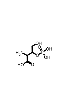 NC(C(=O)O)C(CO)OP(=O)(O)O